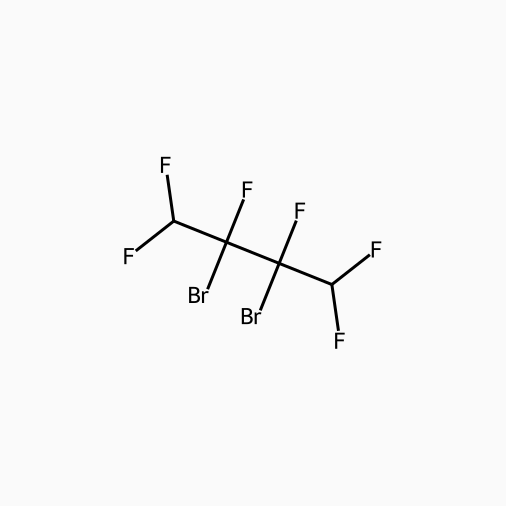 FC(F)C(F)(Br)C(F)(Br)C(F)F